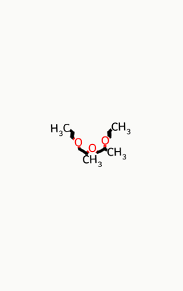 CC=COCC(C)OCC(C)OC=CC